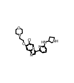 Clc1cn2c(-c3cccc(NC4CCNC4)n3)cnc2cc1OCCN1CCOCC1